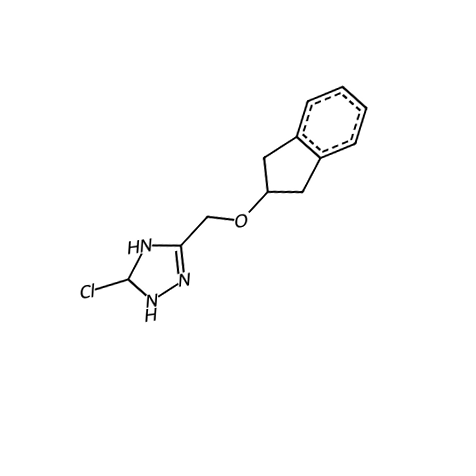 ClC1NN=C(COC2Cc3ccccc3C2)N1